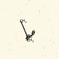 CCCCCCCCCCCCCCCCOc1csc(C)c1CC(=O)OCCN1CCOCC1